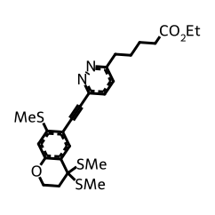 CCOC(=O)CCCCc1ccc(C#Cc2cc3c(cc2SC)OCCC3(SC)SC)nn1